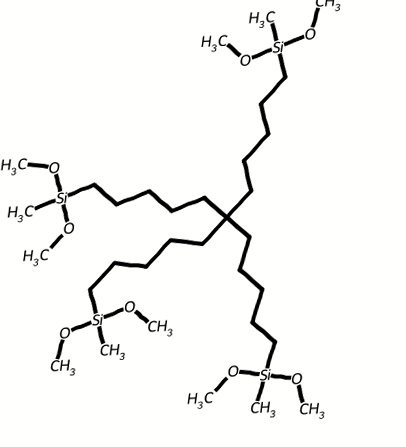 CO[Si](C)(CCCCCC(CCCCC[Si](C)(OC)OC)(CCCCC[Si](C)(OC)OC)CCCCC[Si](C)(OC)OC)OC